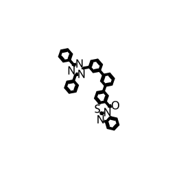 O=c1c2cc(-c3cccc(-c4cccc(-c5nc(-c6ccccc6)nc(-c6ccccc6)n5)c4)c3)ccc2sc2nc3ccccc3n12